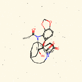 COC(=O)N1c2c(ccc3c2OCO3)[C@@]23CC(=O)N(CCCC4=CC[C@]12[C@](O)(C(=O)OC)C4)C3=O